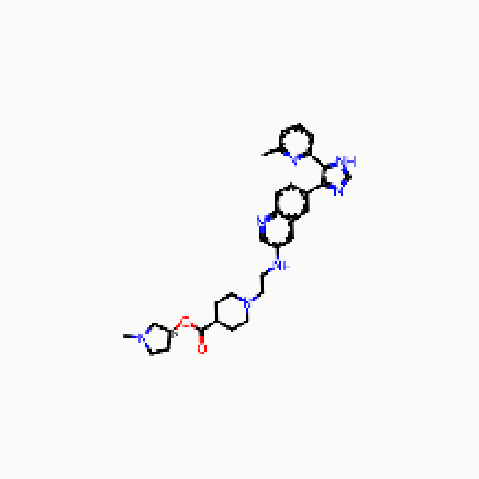 Cc1cccc(-c2[nH]cnc2-c2ccc3ncc(NCCN4CCC(C(=O)O[C@H]5CCN(C)C5)CC4)cc3c2)n1